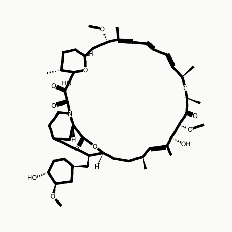 CO[C@H]1C[C@@H]2CC[C@@H](C)[C@@](O)(O2)C(=O)C(=O)N2CCC3C[C@H]2C(=O)O[C@@H](CC[C@H](C)/C=C(\C)[C@@H](O)[C@@H](OC)C(=O)[C@H](C)C[C@H](C)/C=C/C=C/C=C/1C)[C@H]3C[C@@H]1CC[C@@H](O)[C@H](OC)C1